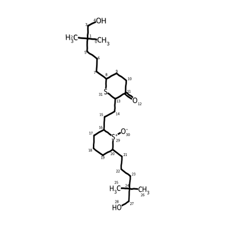 CC(C)(CO)CCCC1CCC(=O)C(CCC2CCCC(CCCC(C)(C)CO)[S+]2[O-])S1